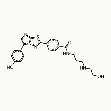 N#Cc1ccc(-c2cnc3sc(-c4ccc(C(=O)NCCCNCCO)cc4)nn23)cc1